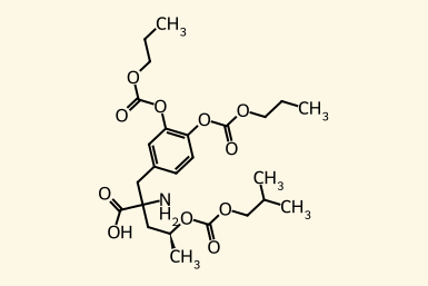 CCCOC(=O)Oc1ccc(CC(N)(C[C@H](C)OC(=O)OCC(C)C)C(=O)O)cc1OC(=O)OCCC